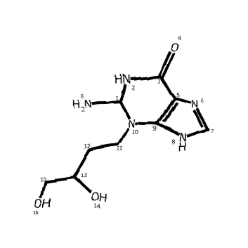 NC1NC(=O)c2nc[nH]c2N1CCC(O)CO